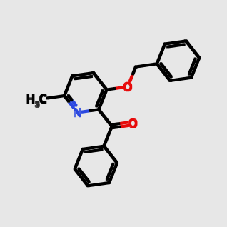 Cc1ccc(OCc2ccccc2)c(C(=O)c2ccccc2)n1